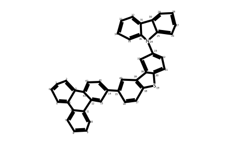 c1ccc2c(c1)c1ccccc1c1cc(-c3ccc4sc5ccc(-n6c7ccccc7c7ccccc76)cc5c4c3)ccc21